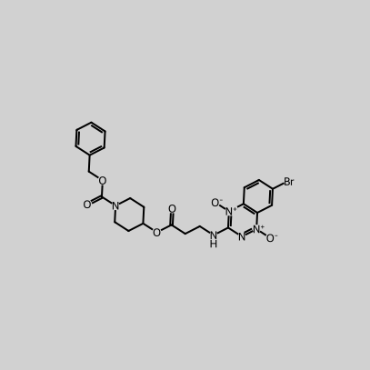 O=C(CCNc1n[n+]([O-])c2cc(Br)ccc2[n+]1[O-])OC1CCN(C(=O)OCc2ccccc2)CC1